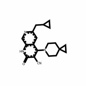 N#Cc1c(N2CCC3(CC2)CC3)c2cc(CC3CC3)ncc2[nH]c1=O